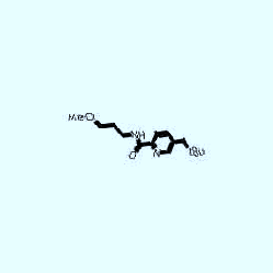 COCCCNC(=O)c1ccc(CC(C)(C)C)cn1